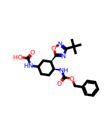 CC(C)(C)c1noc([C@@H]2CC(NC(=O)O)CC[C@@H]2NC(=O)OCc2ccccc2)n1